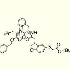 CC(C)C[C@H](NC(=O)[C@H](Cc1ccccc1)NC(=O)CC1COc2ccc(SCC(=O)OC(C)(C)C)cc21)C(=O)OCc1ccccc1